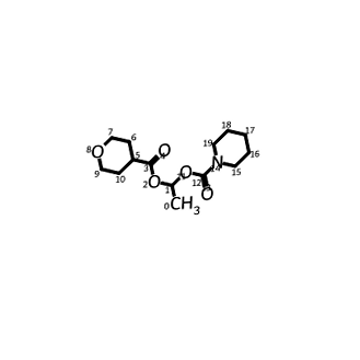 CC(OC(=O)C1CCOCC1)OC(=O)N1CCCCC1